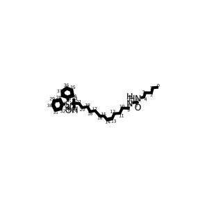 CCCCCNC(=O)NCCCC/C=C\CCCCCCCC(C)(C)[Si](O)(c1ccccc1)c1ccccc1